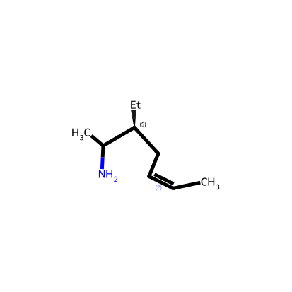 C/C=C\C[C@H](CC)C(C)N